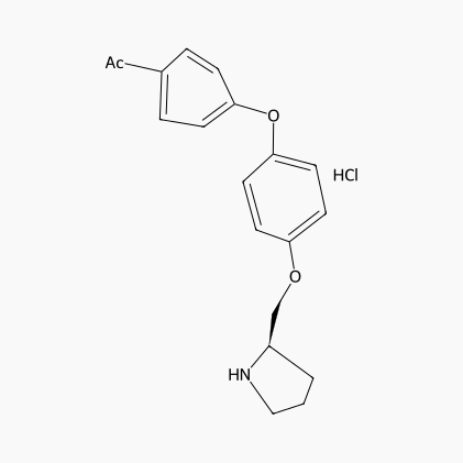 CC(=O)c1ccc(Oc2ccc(OC[C@H]3CCCN3)cc2)cc1.Cl